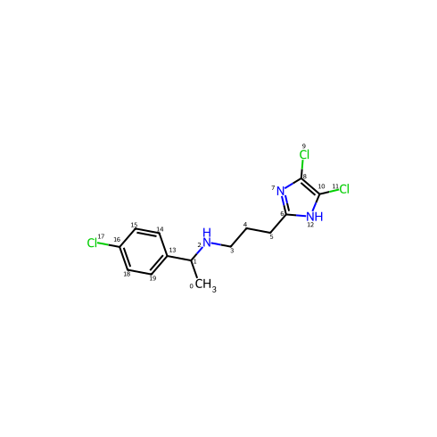 CC(NCCCc1nc(Cl)c(Cl)[nH]1)c1ccc(Cl)cc1